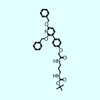 CC(C)(C)OC(=O)NCCCNC(=O)COc1ccc(-c2ccc(OCc3ccccc3)nc2OCc2ccccc2)cc1